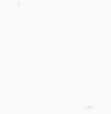 CCCCCCCCCCC[CH]N